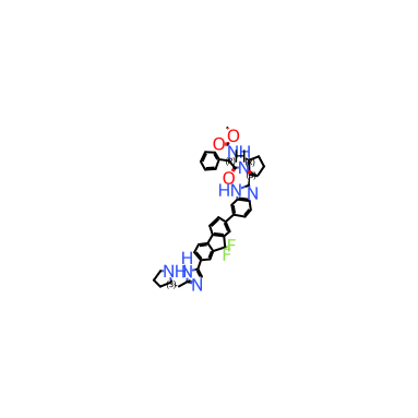 COC(=O)N[C@@H](C(=O)N1[C@@H]2CCC(C2)[C@H]1c1nc2ccc(-c3ccc4c(c3)C(F)(F)c3cc(-c5cnc(C[C@@H]6CCCN6)[nH]5)ccc3-4)cc2[nH]1)c1ccccc1